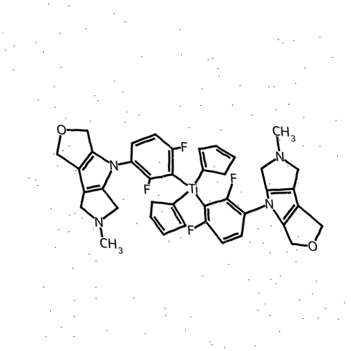 CN1Cc2c3c(n(-c4ccc(F)[c]([Ti]([C]5=CC=CC5)([C]5=CC=CC5)[c]5c(F)ccc(-n6c7c(c8c6CN(C)C8)COC7)c5F)c4F)c2C1)COC3